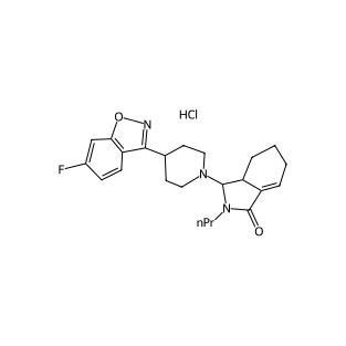 CCCN1C(=O)C2=CCCCC2C1N1CCC(c2noc3cc(F)ccc23)CC1.Cl